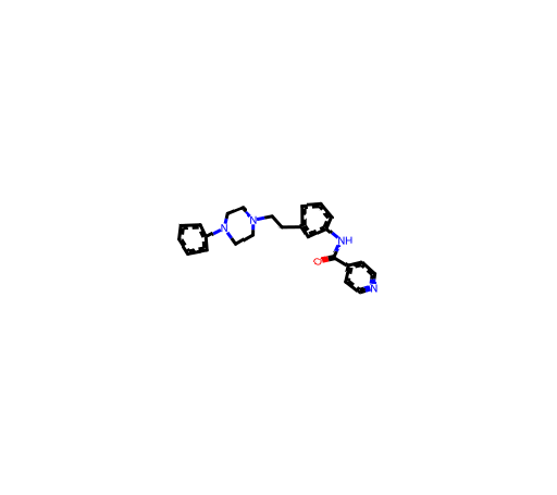 O=C(Nc1cccc(CCN2CCN(c3ccccc3)CC2)c1)c1ccncc1